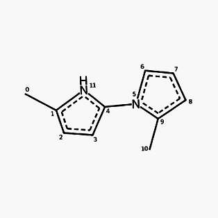 Cc1ccc(-n2cccc2C)[nH]1